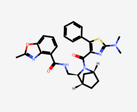 Cc1nc2c(C(=O)NC[C@@H]3[C@H]4CC[C@H](C4)N3C(=O)c3nc(N(C)C)sc3-c3ccccc3)cccc2o1